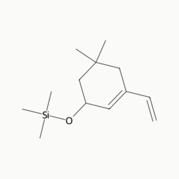 C=CC1=CC(O[Si](C)(C)C)CC(C)(C)C1